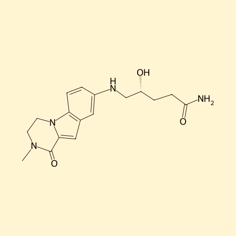 CN1CCn2c(cc3cc(NC[C@H](O)CCC(N)=O)ccc32)C1=O